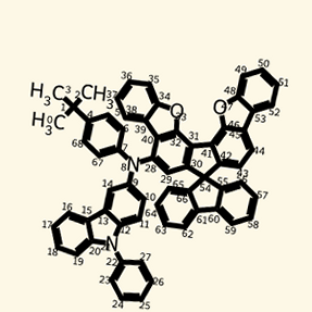 CC(C)(C)c1ccc(N(c2ccc3c(c2)c2ccccc2n3-c2ccccc2)c2cc3c(c4oc5ccccc5c24)-c2c(ccc4c2oc2ccccc24)C32c3ccccc3-c3ccccc32)cc1